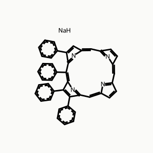 C1=CC2=NC1=CC1=NC(=C(c3ccccc3)C3=NC(=CC4=NC(=C2)C=C4)C=C3c2ccccc2)C(c2ccccc2)=C1c1ccccc1.[NaH]